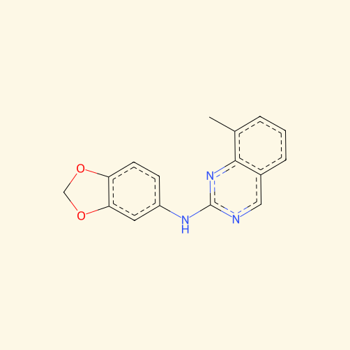 Cc1cccc2cnc(Nc3ccc4c(c3)OCO4)nc12